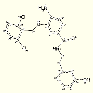 Nc1ncc(C(=O)NCCc2cccc(O)c2)cc1OCc1c(Cl)cccc1Cl